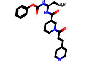 O=C(O)C[C@H](NC(=O)Oc1ccccc1)NC(=O)[C@@H]1CCCN(C(=O)CCC2CCNCC2)C1